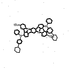 CC(C)(C)c1ccc2c(c1)c1c(N(c3ccccc3)c3ccc(C4CCCCC4)cc3)ccc3c4cc5c(cc4n2c31)c1ccc(N(c2ccccc2)c2ccc(C3CCCCC3)cc2)c2c3cc(C(C)(C)C)ccc3n5c12